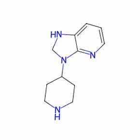 c1cnc2c(c1)NCN2C1CCNCC1